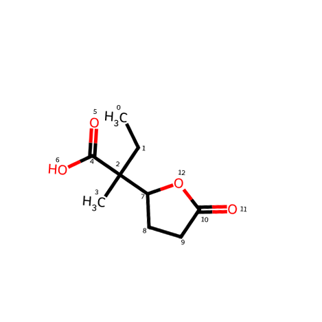 CCC(C)(C(=O)O)C1CCC(=O)O1